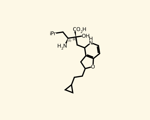 CC(C)C[C@H](N)[C@](O)(CC1NC=CC2=C1CC(CCC1CC1)O2)C(=O)O